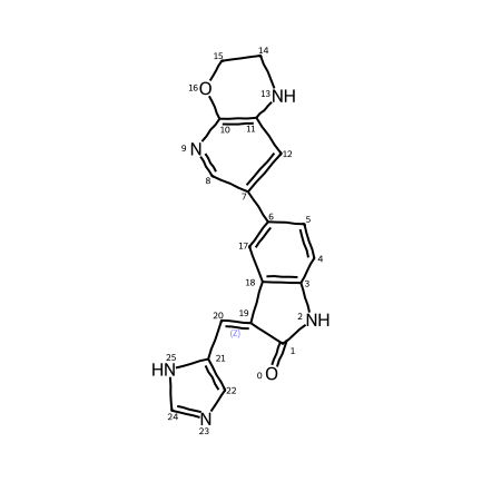 O=C1Nc2ccc(-c3cnc4c(c3)NCCO4)cc2/C1=C/c1cnc[nH]1